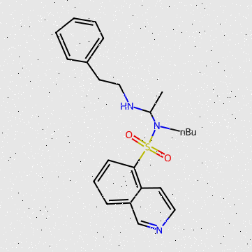 CCCCN(C(C)NCCc1ccccc1)S(=O)(=O)c1cccc2cnccc12